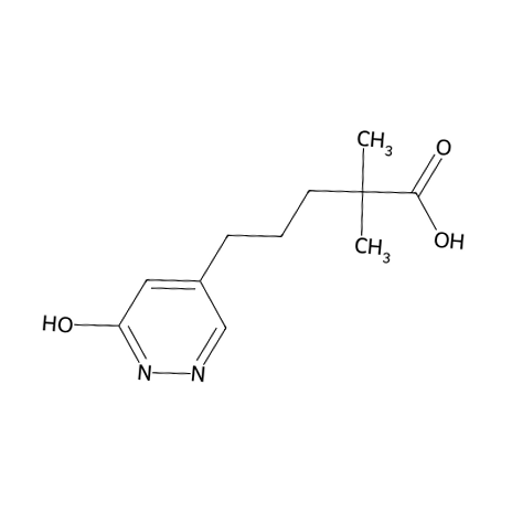 CC(C)(CCCc1cnnc(O)c1)C(=O)O